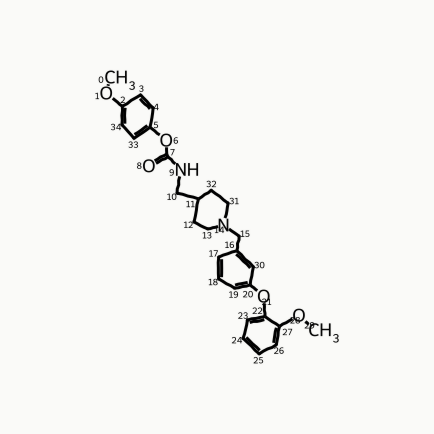 COc1ccc(OC(=O)NCC2CCN(Cc3cccc(Oc4ccccc4OC)c3)CC2)cc1